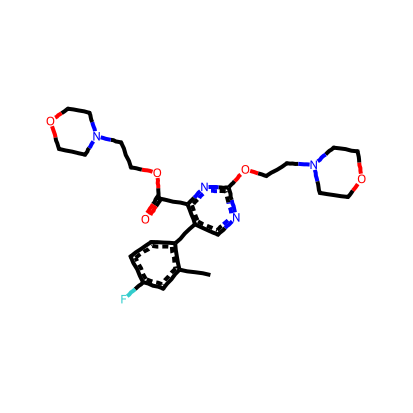 Cc1cc(F)ccc1-c1cnc(OCCN2CCOCC2)nc1C(=O)OCCN1CCOCC1